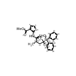 COC(=O)c1ccsc1NC(=S)[C@H](C)CC(C)(C)[Si](O)(c1ccccc1)c1ccccc1